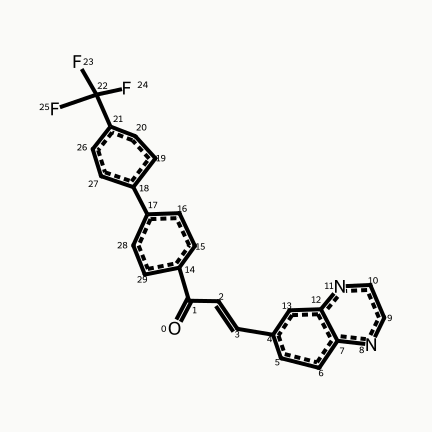 O=C(C=Cc1ccc2nccnc2c1)c1ccc(-c2ccc(C(F)(F)F)cc2)cc1